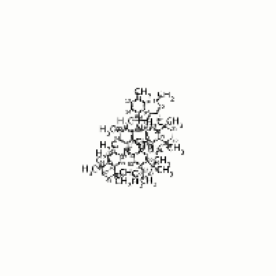 C=C/C=C\C=CC(C)(c1ccc(C)cc1)N(c1ccc2c(c1)C(C)(C)CCC2(C)C)c1cc(C)cc(N(c2cc3c(cc2C)C(C)(C)CCC3(C)C)c2cc3c(cc2C)C(C)(C)CC3(C)C)c1C